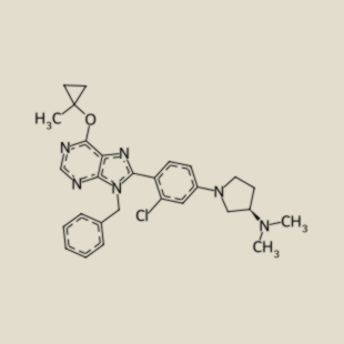 CN(C)[C@@H]1CCN(c2ccc(-c3nc4c(OC5(C)CC5)ncnc4n3Cc3ccccc3)c(Cl)c2)C1